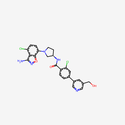 Nc1noc2c(N3CC[C@@H](NC(=O)c4ccc(-c5cncc(CO)c5)cc4Cl)C3)ccc(Cl)c12